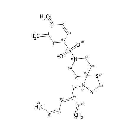 C=C/C=C\C(=C/C=C)S(=O)(=O)N1CCC2(CC1)SCCN2C/C(C=C)=C/C=C\C